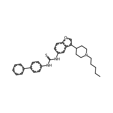 CCCCCN1CCC(c2coc3ccc(NC(=S)Nc4ccc(-c5ccccc5)cc4)cc23)CC1